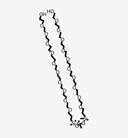 C[Si](C)(CCCOCCOCCOCCOCCOCCOCCOCCOCCOCCOCCO)O[Si](C)(C)O[Si](C)(C)CCCOCCOCCOCCOCCOCCOCCOCCOCCOCCOCCO